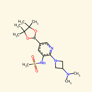 CN(C)C1CN(c2ncc(B3OC(C)(C)C(C)(C)O3)cc2NS(C)(=O)=O)C1